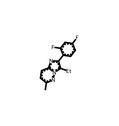 CCc1c(-c2ccc(F)cc2F)nc2ccc(C)nn12